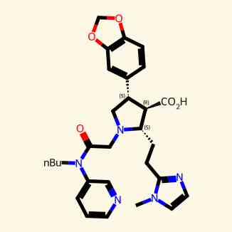 CCCCN(C(=O)CN1C[C@H](c2ccc3c(c2)OCO3)[C@@H](C(=O)O)[C@@H]1CCc1nccn1C)c1cccnc1